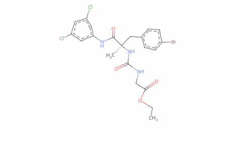 CCOC(=O)CNC(=O)N[C@](C)(Cc1ccc(Br)cc1)C(=O)Nc1cc(Cl)cc(Cl)c1